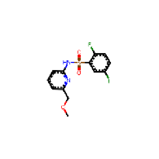 COCc1cccc(NS(=O)(=O)c2cc(F)ccc2F)n1